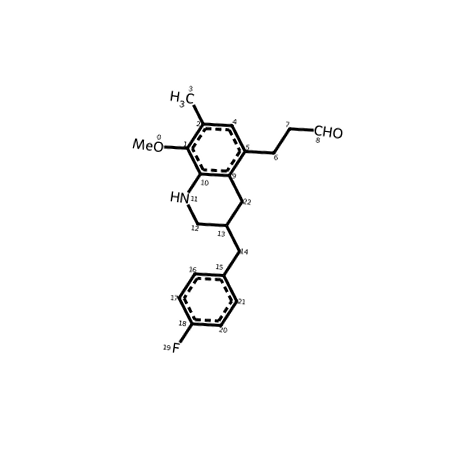 COc1c(C)cc(CCC=O)c2c1NCC(Cc1ccc(F)cc1)C2